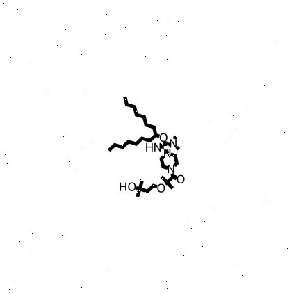 CCCCCCCC(CCCCCCC)OP(=N)(N(C)C)N1CCN(C(=O)C(C)(C)OCCC(C)(C)O)CC1